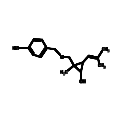 CC(C)=CC1C(O)C1(C)COCc1ccc(O)cc1